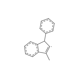 CC1=[C]C(c2ccccc2)c2ccccc21